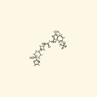 Cn1nc(NCC(=O)NC2CN(C3CCC(O)(c4nccs4)CC3)C2)c2cc(OC(F)(F)F)ccc21